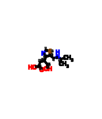 CC(C)NCc1scnc1C(CO)CC(=O)O